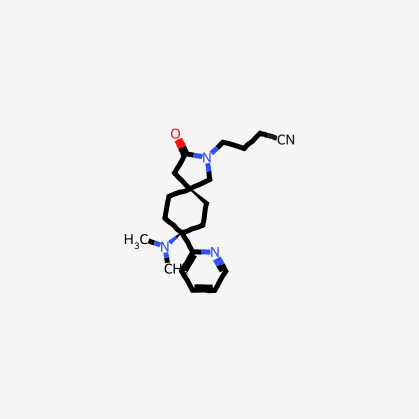 CN(C)[C@]1(c2ccccn2)CC[C@@]2(CC1)CC(=O)N(CCCC#N)C2